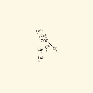 O=C([O-])[O-].[Ca+2].[Ca+2].[Ce+3].[La+3].[O-2]